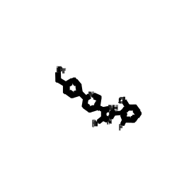 CC(C)Cc1ccc(-c2ccc(-c3[nH]c(-c4c(F)cccc4Cl)nc3Br)cn2)cc1